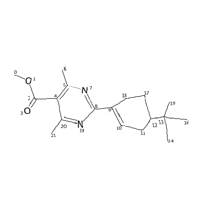 COC(=O)c1c(C)nc(C2=CCC(C(C)(C)C)CC2)nc1C